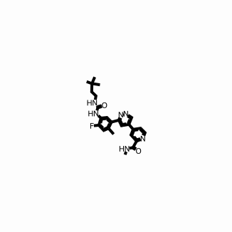 CNC(=O)c1cc(-c2cnnc(-c3cc(NC(=O)NCCC(C)(C)C)c(F)cc3C)c2)ccn1